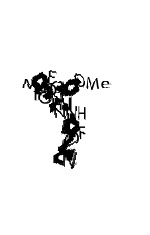 COc1ccc(N(C(=O)Oc2c(F)cccc2F)c2ccnc(Nc3ccc(OCC4CCCN(C)C4)c(F)c3)n2)c(OC)c1